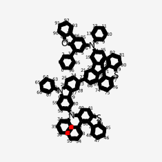 c1ccc(-c2cc(N(c3ccccc3)c3ccc4c(c3)-c3cc(-c5ccc6c(c5)c5cc(N(c7ccccc7)c7ccc8sc9ccccc9c8c7-c7ccccc7)ccc5n6-c5ccccc5)ccc3C43c4ccccc4Sc4ccccc43)cc3c2oc2ccccc23)cc1